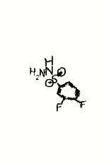 NNS(=O)(=O)c1ccc(F)c(F)c1